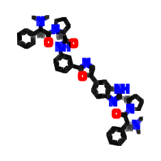 CN(C)[C@@H](C(=O)N1CCC[C@H]1C(=O)Nc1cccc(-c2ncc(-c3ccc4nc([C@@H]5CCCN5C(=O)[C@@H](c5ccccc5)N(C)C)[nH]c4c3)o2)c1)c1ccccc1